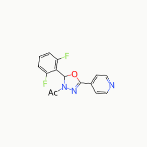 CC(=O)N1N=C(c2ccncc2)OC1c1c(F)cccc1F